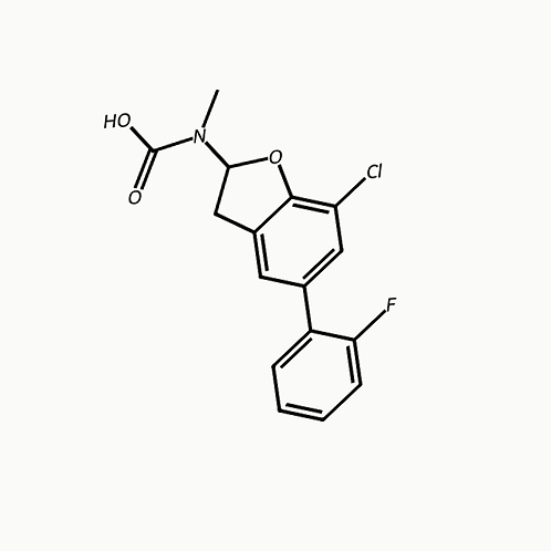 CN(C(=O)O)C1Cc2cc(-c3ccccc3F)cc(Cl)c2O1